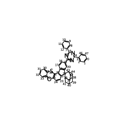 c1ccc(-c2nc(-c3ccccc3)nc(-c3ccc4c(c3)C3(c5ccc6c(c5-4)Sc4ccccc4O6)C4CC5CC(C4)CC3C5)n2)cc1